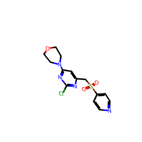 O=S(=O)(Cc1cc(N2CCOCC2)nc(Cl)n1)c1ccncc1